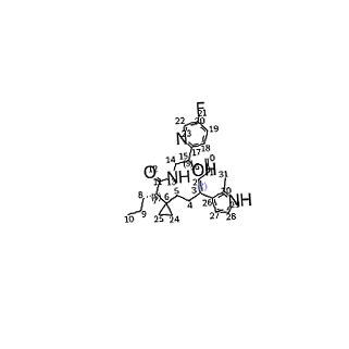 C=C/C=C(/CCC1([C@H](CCC)C(=O)NC[C@H](O)c2ccc(F)cn2)CC1)c1cc[nH]c1C